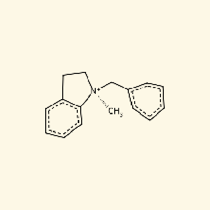 C[N@@+]1(Cc2ccccc2)CCc2ccccc21